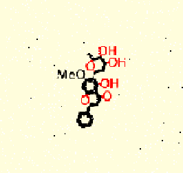 COc1cc2oc(-c3ccccc3)cc(=O)c2c(O)c1[C@H]1C[C@@H](O)[C@H](O)C(C)O1